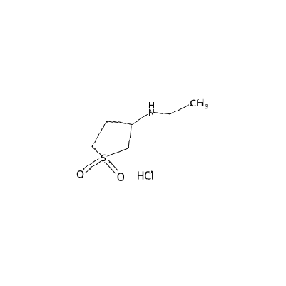 CCNC1CCS(=O)(=O)C1.Cl